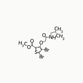 COC(=O)c1sc(Br)c(Br)c1OCC(=O)NCC(C)C